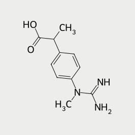 CC(C(=O)O)c1ccc(N(C)C(=N)N)cc1